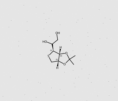 CC1(C)O[C@@H]2[C@@H](CS[C@H]2C(O)CO)O1